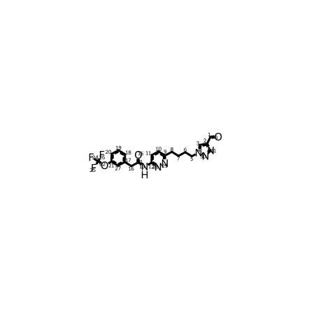 O=Cc1cn(CCCCc2ccc(NC(=O)Cc3cccc(OC(F)(F)F)c3)nn2)nn1